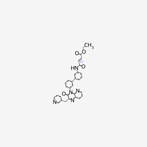 CCOC(=O)/C=C/C(=O)Nc1cccc(-c2cccc(-n3c(=O)c(Cc4cccnc4)nc4cccnc43)c2)c1